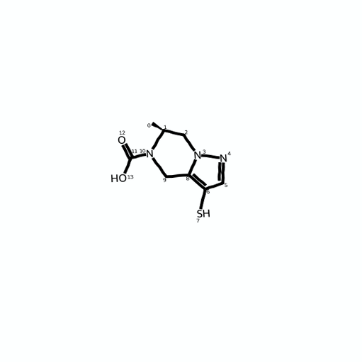 C[C@H]1Cn2ncc(S)c2CN1C(=O)O